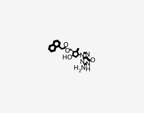 C=C1[C@H](COC(=O)Cc2cccc3ccccc23)[C@@H](O)C[C@@H]1n1cnc2c(=O)[nH]c(N)nc21